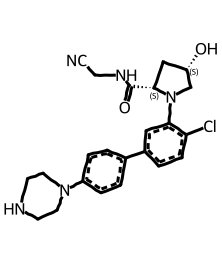 N#CCNC(=O)[C@@H]1C[C@H](O)CN1c1cc(-c2ccc(N3CCNCC3)cc2)ccc1Cl